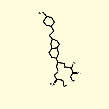 C=C(CO)COCC(COC(O)C(=C)CO)C1CCC2CC(CCC3CCC(CCCCC)CC3)CCC2C1